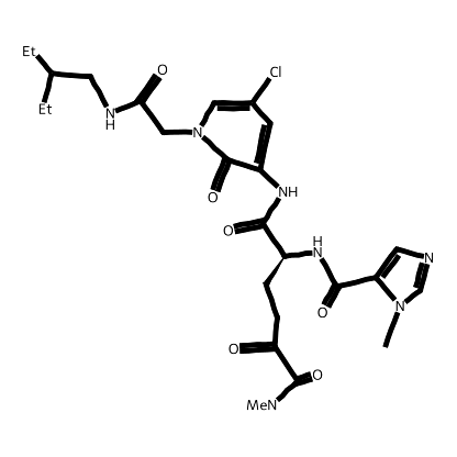 CCC(CC)CNC(=O)Cn1cc(Cl)cc(NC(=O)[C@H](CCC(=O)C(=O)NC)NC(=O)c2cncn2C)c1=O